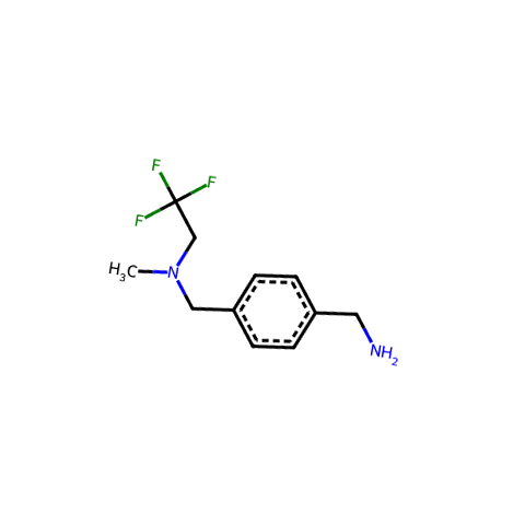 CN(Cc1ccc(CN)cc1)CC(F)(F)F